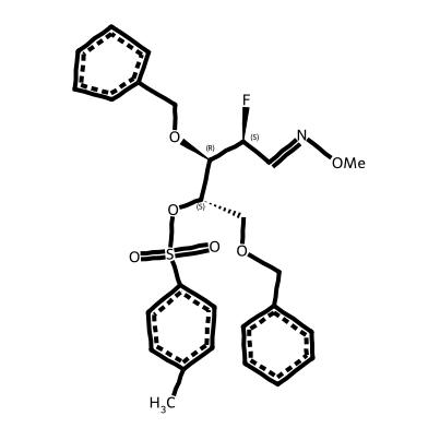 CON=C[C@H](F)[C@H](OCc1ccccc1)[C@H](COCc1ccccc1)OS(=O)(=O)c1ccc(C)cc1